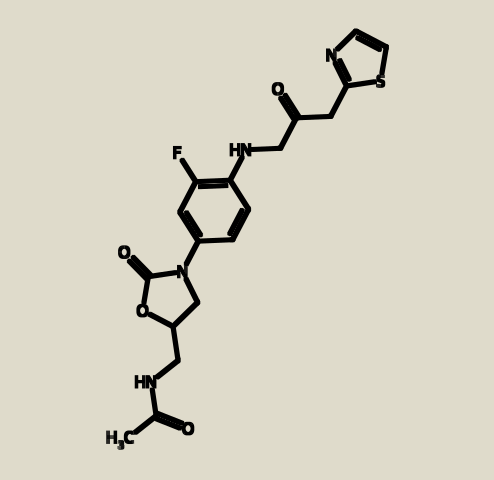 CC(=O)NCC1CN(c2ccc(NCC(=O)Cc3nccs3)c(F)c2)C(=O)O1